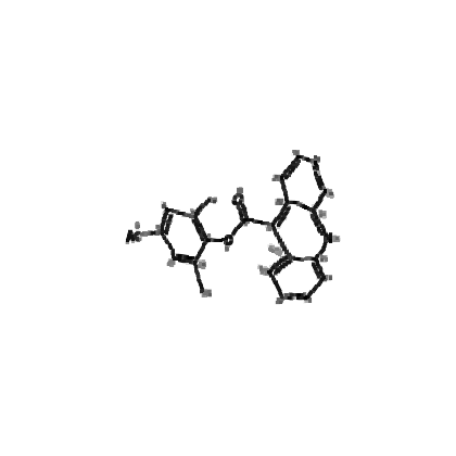 CC(=O)c1cc(C)c(OC(=O)c2c3ccccc3nc3ccccc23)c(C)c1